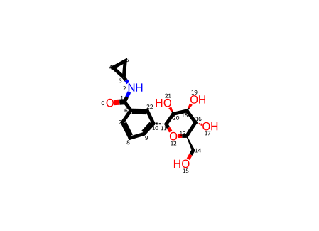 O=C(NC1CC1)c1cccc([C@H]2O[C@H](CO)[C@@H](O)[C@H](O)[C@@H]2O)c1